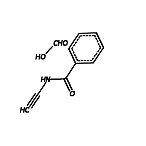 C#CNC(=O)c1ccccc1.O=CO